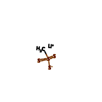 CS(=S)(=S)[S-].[Li+]